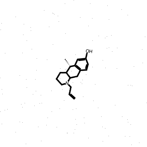 C=CCN1CCCC2C1Cc1ccc(O)cc1[C@H]2C